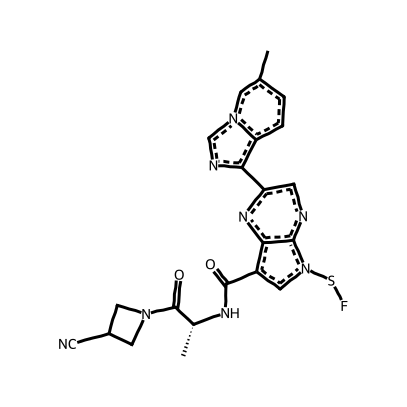 Cc1ccc2c(-c3cnc4c(n3)c(C(=O)N[C@H](C)C(=O)N3CC(C#N)C3)cn4SF)ncn2c1